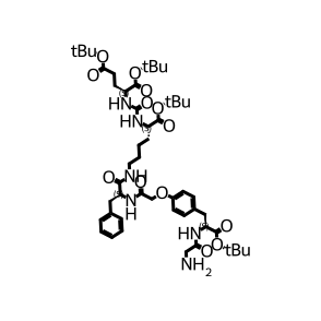 CC(C)(C)OC(=O)CC[C@H](NC(=O)N[C@@H](CCCCNC(=O)[C@H](Cc1ccccc1)NC(=O)COc1ccc(C[C@H](NC(=O)CN)C(=O)OC(C)(C)C)cc1)C(=O)OC(C)(C)C)C(=O)OC(C)(C)C